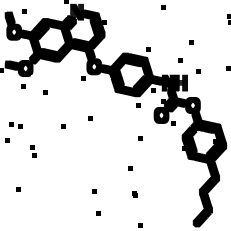 CCCCc1ccc(OC(=O)Nc2ccc(Oc3ccnc4cc(OC)c(OC)cc34)cc2)cc1